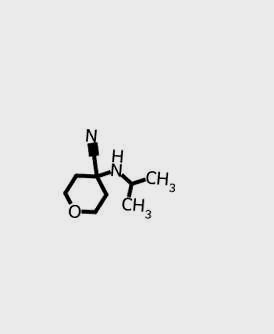 CC(C)NC1(C#N)CCOCC1